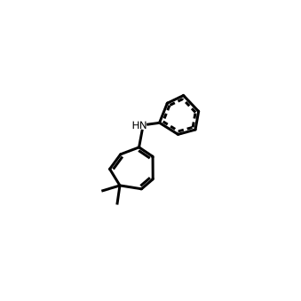 CC1(C)C=CC=C(Nc2ccccc2)C=C1